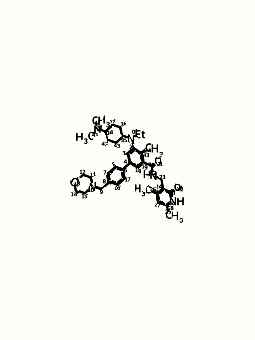 CCN(c1cc(-c2ccc(CN3CCOCC3)cc2)cc(C(=O)NCc2c(C)cc(C)[nH]c2=O)c1C)C1CCC(N(C)C)CC1